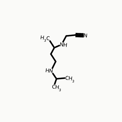 CC(C)NCCC(C)NCC#N